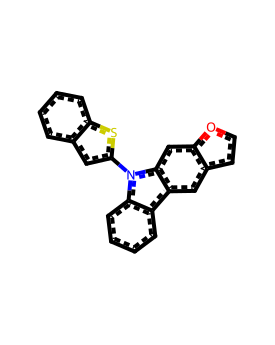 c1ccc2sc(-n3c4ccccc4c4cc5ccoc5cc43)cc2c1